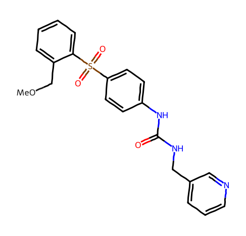 COCc1ccccc1S(=O)(=O)c1ccc(NC(=O)NCc2cccnc2)cc1